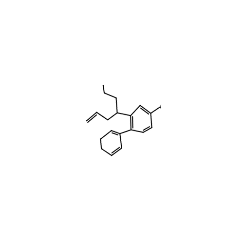 C=CCC(CCC)c1cc(I)ccc1C1=CCCC=C1